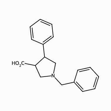 O=C(O)C1CN(Cc2ccccc2)CC1c1ccccc1